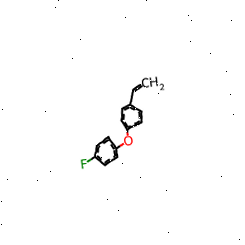 C=Cc1ccc(Oc2ccc(F)cc2)cc1